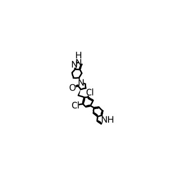 O=C1[C@H](Cc2c(Cl)cc(-c3ccc4[nH]ccc4c3)cc2Cl)CCN1[C@H]1CCc2n[nH]cc2C1